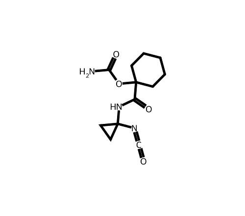 NC(=O)OC1(C(=O)NC2(N=C=O)CC2)CCCCC1